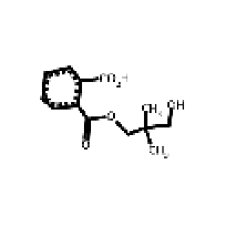 CC(C)(CO)COC(=O)c1ccccc1C(=O)O